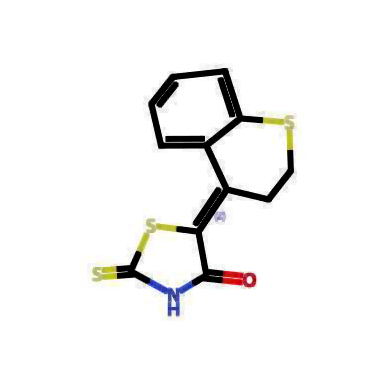 O=C1NC(=S)S/C1=C1/CCSc2ccccc21